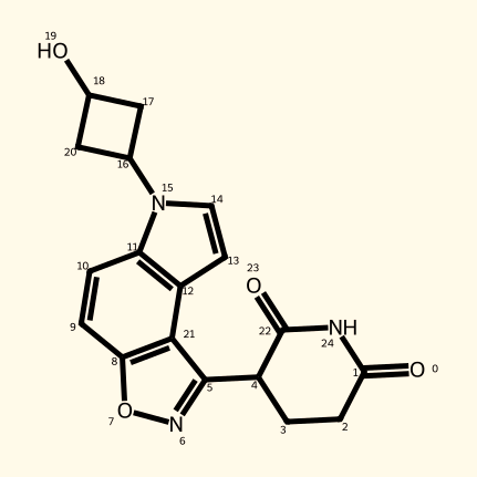 O=C1CCC(c2noc3ccc4c(ccn4C4CC(O)C4)c23)C(=O)N1